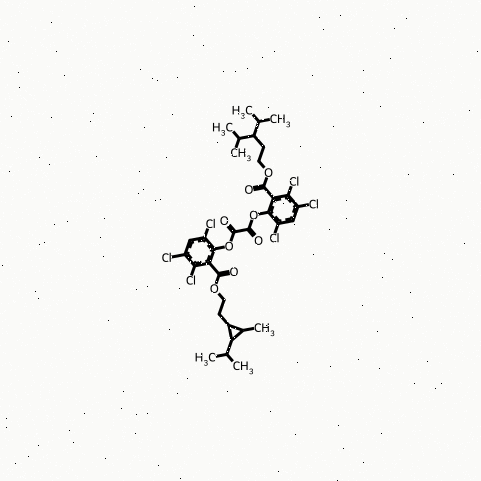 CC(C)C(CCOC(=O)c1c(Cl)c(Cl)cc(Cl)c1OC(=O)C(=O)Oc1c(Cl)cc(Cl)c(Cl)c1C(=O)OCCC1C(C)C1C(C)C)C(C)C